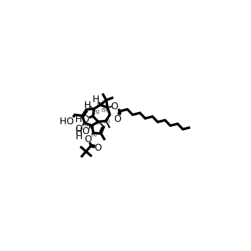 CCCCCCCCCCCC(=O)O[C@@]12C[C@@H](C)[C@]34C=C(C)[C@H](OC(=O)C(C)(C)C)[C@@]3(O)[C@H](O)C(CO)=C[C@H](C4O)[C@@H]1C2(C)C